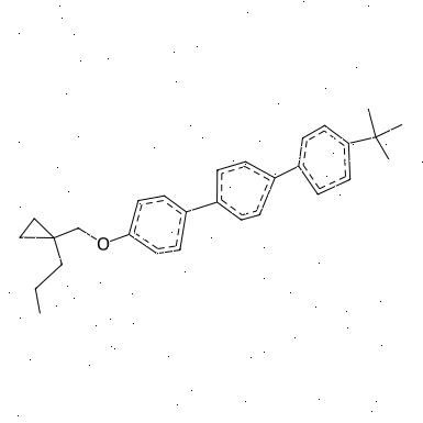 CCCC1(COc2ccc(-c3ccc(-c4ccc(C(C)(C)C)cc4)cc3)cc2)CC1